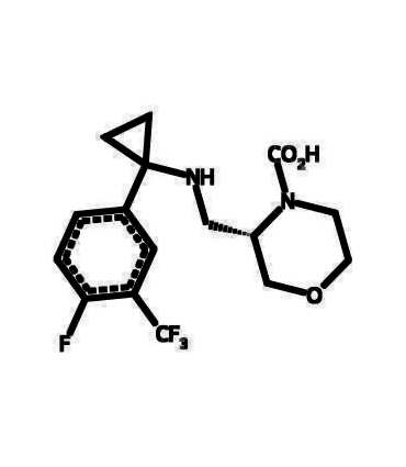 O=C(O)N1CCOC[C@@H]1CNC1(c2ccc(F)c(C(F)(F)F)c2)CC1